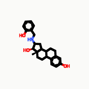 C[C@]12CCC3c4ccc(O)cc4CCC3C1CC(NCc1ccccc1O)[C@@H]2O